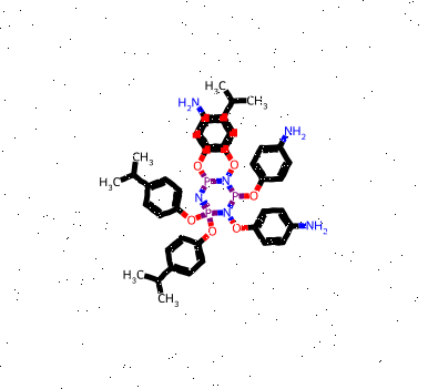 CC(C)c1ccc(OP2N=P(Oc3ccc(C(C)C)cc3)(Oc3ccc(C(C)C)cc3)N(Oc3ccc(N)cc3)P(Oc3ccc(N)cc3)N2Oc2ccc(N)cc2)cc1